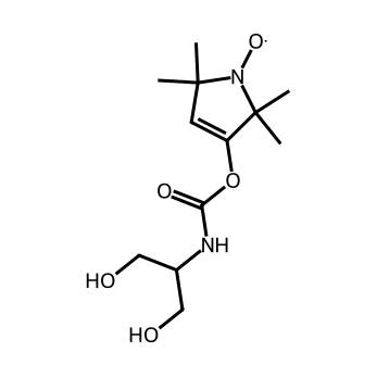 CC1(C)C=C(OC(=O)NC(CO)CO)C(C)(C)N1[O]